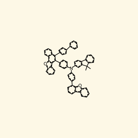 CC1(C)c2ccccc2-c2ccc(N(c3ccc(-c4cccc5c4oc4ccccc45)cc3)c3ccc(-c4c(-c5ccc(-c6ccccc6)cc5)c5ccccc5c5oc6ccccc6c45)cc3)cc21